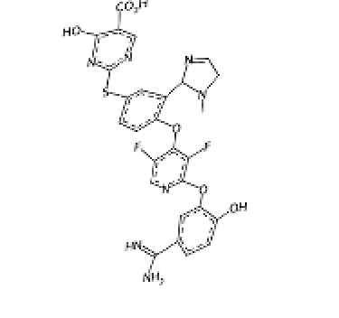 CN1CC=NC1c1cc(Sc2ncc(C(=O)O)c(O)n2)ccc1Oc1c(F)cnc(Oc2cc(C(=N)N)ccc2O)c1F